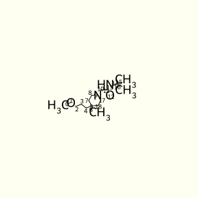 COCCCC1(C)CCN(CC(=O)NC(C)C)CC1